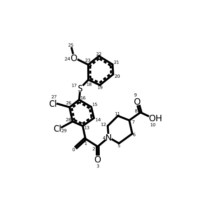 C=C(C(=O)N1CCC(C(=O)O)CC1)c1ccc(Sc2ccccc2OC)c(Cl)c1Cl